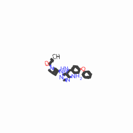 C#CC(=O)N1CC2CC(Nc3ncnc(N)c3C(=N)c3ccc(Oc4ccccc4)cc3)C1C2